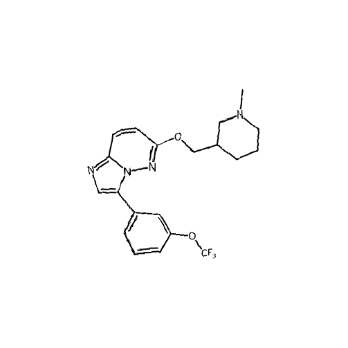 CN1CCCC(COc2ccc3ncc(-c4cccc(OC(F)(F)F)c4)n3n2)C1